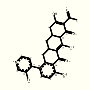 CC(=O)C1=C(O)CC2CC3Cc4c(-c5ccncc5Cl)ccc(O)c4C(=O)C3=C(O)C2C1=O